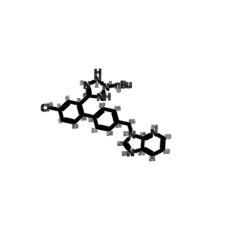 CCCCN1NN=C(c2cc(Cl)ccc2-c2ccc(Cn3cnc4cccnc43)cc2)N1